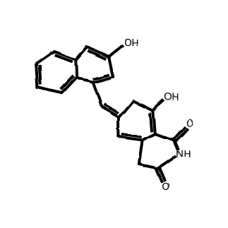 O=C1CC2=CC(=Cc3cc(O)cc4ccccc34)CC(O)=C2C(=O)N1